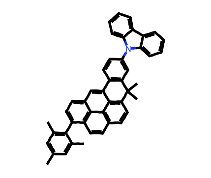 Cc1cc(C)c(-c2ccc3cc4c5c(ccc6ccc2c3c65)C(C)(C)c2cc(-n3c5ccccc5c5ccccc53)ccc2-4)c(C)c1